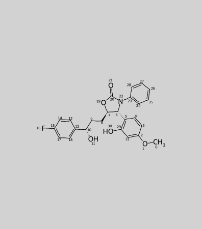 COc1ccc([C@@H]2[C@@H](CC[C@H](O)c3ccc(F)cc3)OC(=O)N2c2ccccc2)c(O)c1